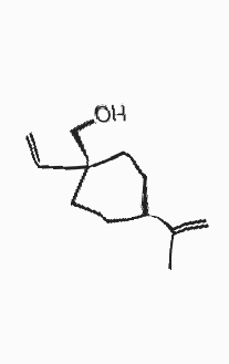 C=C[C@]1(CO)CC[C@@H](C(=C)C)CC1